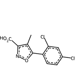 Cc1c(C(=O)O)noc1-c1ccc(Cl)cc1Cl